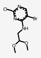 COC(CNc1nc(Cl)ncc1Br)OC